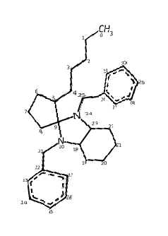 CCCCCC1CCCC12N(Cc1ccccc1)C1CCCCC1N2Cc1ccccc1